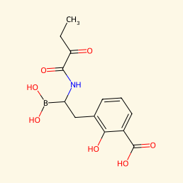 CCC(=O)C(=O)NC(Cc1cccc(C(=O)O)c1O)B(O)O